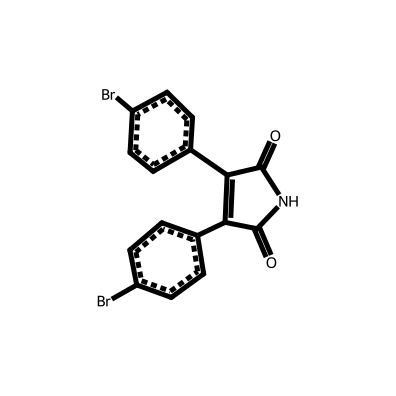 O=C1NC(=O)C(c2ccc(Br)cc2)=C1c1ccc(Br)cc1